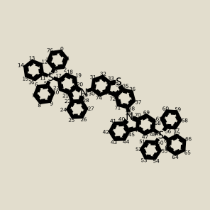 c1ccc(S(c2ccccc2)(c2ccccc2)c2ccc3c(c2)c2ccccc2n3-c2ccc3sc4ccc(-n5c6ccccc6c6cc(S(c7ccccc7)(c7ccccc7)c7ccccc7)ccc65)cc4c3c2)cc1